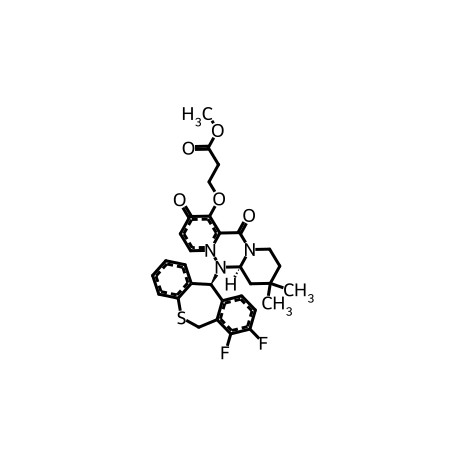 COC(=O)CCOc1c2n(ccc1=O)N([C@@H]1c3ccccc3SCc3c1ccc(F)c3F)[C@@H]1CC(C)(C)CCN1C2=O